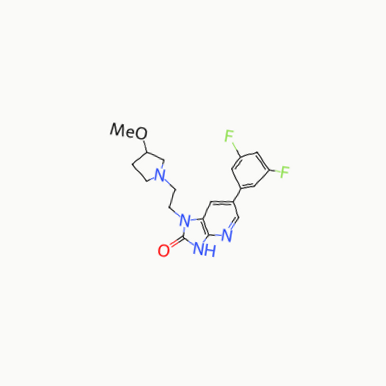 COC1CCN(CCn2c(=O)[nH]c3ncc(-c4cc(F)cc(F)c4)cc32)C1